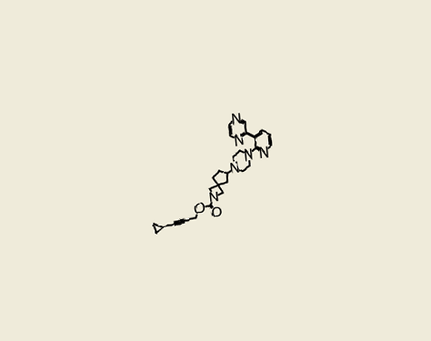 O=C(OCC#CC1CC1)N1CC2(CCC(N3CCN(c4ncccc4-c4cnccn4)CC3)C2)C1